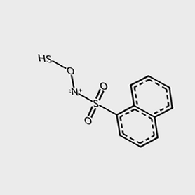 O=S(=O)([N+]OS)c1cccc2ccccc12